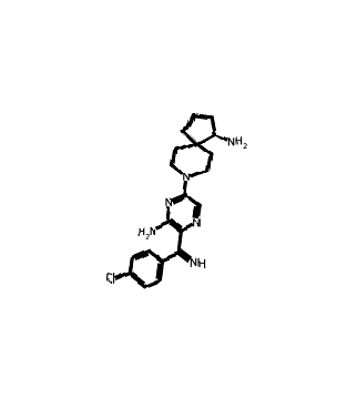 N=C(c1ccc(Cl)cc1)c1ncc(N2CCC3(CCC[C@H]3N)CC2)nc1N